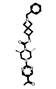 CC(=O)c1cnc(N2C[C@@H](C)N(C(=O)OC3CC4(C3)CN(Cc3ccccc3)C4)[C@H](C)C2)nc1